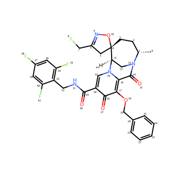 C[C@H]1CC[C@]2(CC(CF)=NO2)[C@H]2CN1C(=O)c1c(OCc3ccccc3)c(=O)c(C(=O)NCc3c(F)cc(F)cc3F)cn12